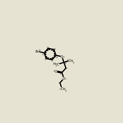 CCOC(=O)CC(C)(C)Oc1ccc(Br)cc1